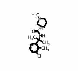 Cc1c(Cl)cccc1C(C)(C)NC(=O)[C@H]1CCCN(C)C1